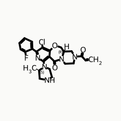 C=CC(=O)N1CCN2C(=O)c3c(N4CCNC[C@@H]4C)nc(-c4ccccc4F)c(Cl)c3OC[C@H]2C1